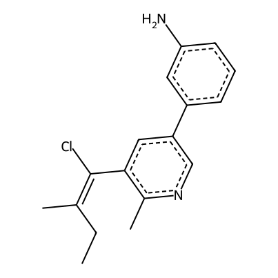 CC/C(C)=C(/Cl)c1cc(-c2cccc(N)c2)cnc1C